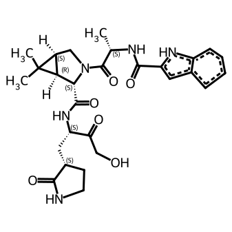 C[C@H](NC(=O)c1cc2ccccc2[nH]1)C(=O)N1C[C@H]2[C@@H]([C@H]1C(=O)N[C@@H](C[C@@H]1CCNC1=O)C(=O)CO)C2(C)C